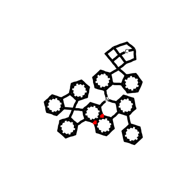 c1ccc(-c2cccc(N(c3ccc4c(c3)C3(c5ccccc5-c5ccccc53)c3ccccc3-4)c3cccc4c3-c3ccccc3C43C4CC5CC6CC3C64C5)c2-c2ccccc2)cc1